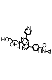 O=C(NC1CC1)c1ccc(-c2cnc3c(NCC(O)CO)nc(-c4ccncc4)cn23)cc1